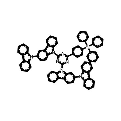 c1ccc([Si](c2ccccc2)(c2ccccc2)c2ccc(-c3nc(-n4c5ccccc5c5cc(-n6c7ccccc7c7ccccc76)ccc54)nc(-n4c5ccccc5c5ccc(-n6c7ccccc7c7ccccc76)cc54)n3)cc2)cc1